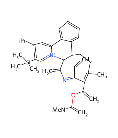 C=CC1=N\C(=C)C2C(CC/C(C)=C\1C(=C)OC(=C)NC)c1ccccc1-c1cc(C(C)C)c([Si](C)(C)C)c[n+]12